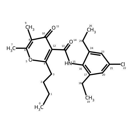 CCCCc1oc(C)c(C)c(=O)c1C(=O)Nc1c(CC)cc(Cl)cc1CC